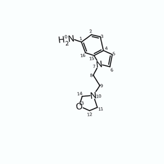 Nc1ccc2ccn(CCN3CCOC3)c2c1